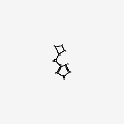 c1nc(OC2CCC2)cs1